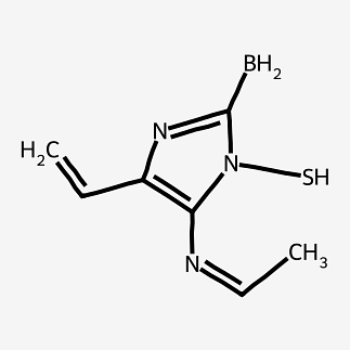 Bc1nc(C=C)c(/N=C\C)n1S